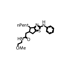 CCCCCC1c2nc(Nc3ccccc3)sc2CC1CC(=O)NCCOC